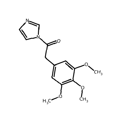 COc1cc(CC(=O)n2ccnc2)cc(OC)c1OC